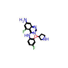 Nc1cc(F)c2c(Nc3ccc(F)cc3OC3CCNC3)ncnc2c1